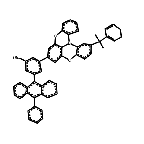 CC(C)(C)c1cc(-c2cc3c4c(c2)Oc2ccc(C(C)(C)C5=CCCC=C5)cc2B4c2ccccc2O3)cc(-c2c3ccccc3c(-c3ccccc3)c3ccccc23)c1